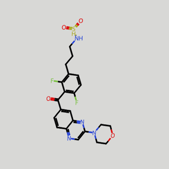 O=C(c1ccc2ncc(N3CCOCC3)nc2c1)c1c(F)ccc(CCCN[SH](=O)=O)c1F